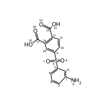 Nc1cccc(S(=O)(=O)c2ccc(C(=O)O)c(C(=O)O)c2)c1